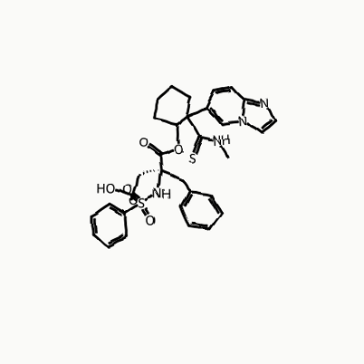 CNC(=S)C1(c2ccc3nccn3c2)CCCCC1OC(=O)[C@@](CC(=O)O)(Cc1ccccc1)NS(=O)(=O)c1ccccc1